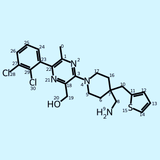 Cc1nc(N2CCC(CN)(Cc3cccs3)CC2)c(CO)nc1-c1cccc(Cl)c1Cl